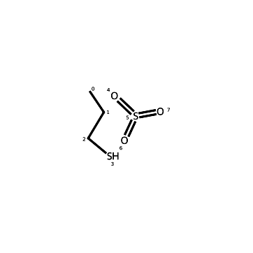 CCCS.O=S(=O)=O